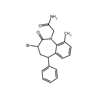 Cc1cccc2c1N(CC(N)=O)C(=O)C(Br)CC2c1ccccc1